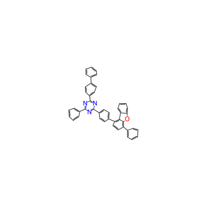 c1ccc(-c2ccc(-c3nc(-c4ccccc4)nc(-c4ccc(-c5ccc(-c6ccccc6)c6oc7ccccc7c56)cc4)n3)cc2)cc1